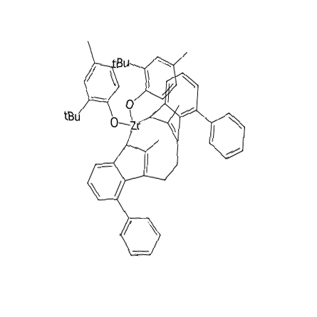 CC1=C2CCC3=C(C)[CH](c4cccc(-c5ccccc5)c43)[Zr]([O]c3ccc(C)cc3C(C)(C)C)([O]c3ccc(C)cc3C(C)(C)C)[CH]1c1cccc(-c3ccccc3)c12